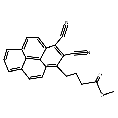 COC(=O)CCCc1c(C#N)c(C#N)c2ccc3cccc4ccc1c2c34